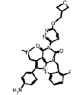 CN(C)Cc1c(-c2ccc(N)cc2)sc2c1c(=O)n(-c1ccc(OCC3COC3)nn1)c(=O)n2Cc1c(F)cccc1F